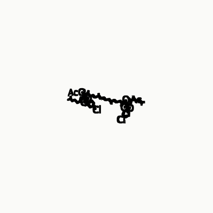 CC(=O)OC(/C(C)=C/C=C/C(C)=C/C=C/C=C(C)/C=C/C=C(\C)C(OC(C)=O)C(/C=C(\C)CCC=C(C)C)S(=O)(=O)c1ccc(Cl)cc1)C(/C=C(\C)CCC=C(C)C)S(=O)(=O)c1ccc(Cl)cc1